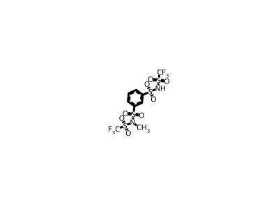 CN(S(=O)(=O)c1cccc(S(=O)(=O)NS(=O)(=O)C(F)(F)F)c1)S(=O)(=O)C(F)(F)F